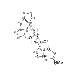 CN[C@@H]1COc2c([S@@](=N)(=O)NC(=O)Nc3c4c(cc5c3CCC5)CCC4)cnn2C1